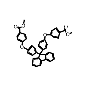 COC(=O)c1ccc(Oc2ccc(C3(c4ccc(Oc5ccc(C(=O)OC)cc5)cc4)c4ccccc4-c4ccccc43)cc2)cc1